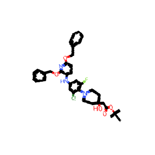 CC(C)(C)OC(=O)CC1(O)CCN(c2c(F)cc(Nc3ccc(OCc4ccccc4)nc3OCc3ccccc3)cc2Cl)CC1